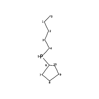 CCCCC[P]C1CCCC1